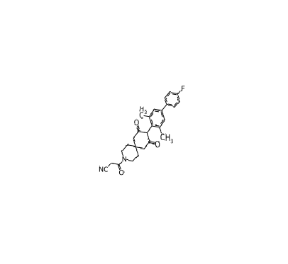 Cc1cc(-c2ccc(F)cc2)cc(C)c1C1C(=O)CC2(CCN(C(=O)CC#N)CC2)CC1=O